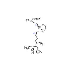 C=CC(O)(CO)C(O)CC/C=C\C[C@H]1CCC[C@@H]1/C=C/C[C@@H](CC)CCCCCC